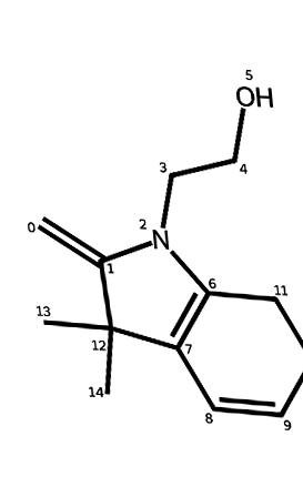 C=C1N(CCO)C2=C(C=CCC2)C1(C)C